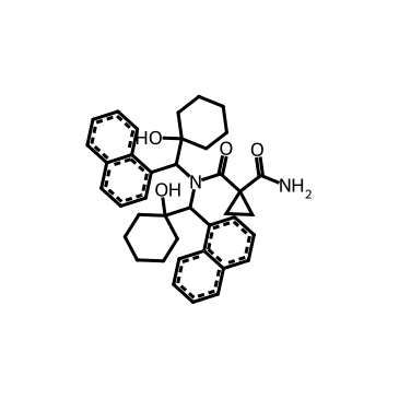 NC(=O)C1(C(=O)N(C(c2cccc3ccccc23)C2(O)CCCCC2)C(c2cccc3ccccc23)C2(O)CCCCC2)CC1